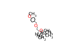 C=CC[C@@H](CCOCc1ccc(OC)cc1)O[Si](C)(C)C(C)(C)C